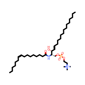 CCCCCC/C=C\CCCCCCCC(=O)N[C@@H](COP(=O)([O-])OCC[N+](C)(C)C)[C@H](O)/C=C/CCCCCCCCCCCCC